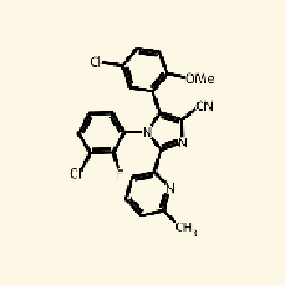 COc1ccc(Cl)cc1-c1c(C#N)nc(-c2cccc(C)n2)n1-c1cccc(Cl)c1F